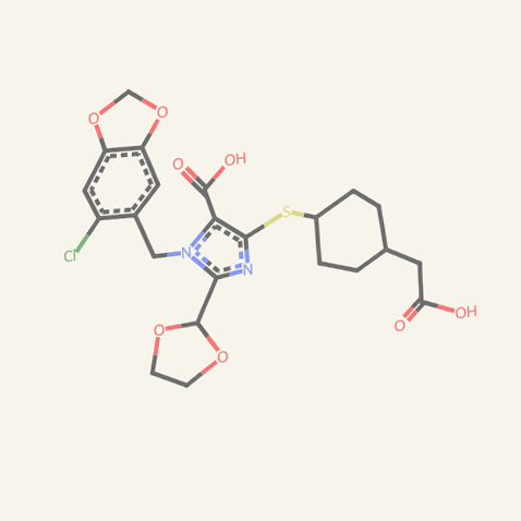 O=C(O)CC1CCC(Sc2nc(C3OCCO3)n(Cc3cc4c(cc3Cl)OCO4)c2C(=O)O)CC1